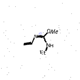 C=C/N=C(\NCC)OC